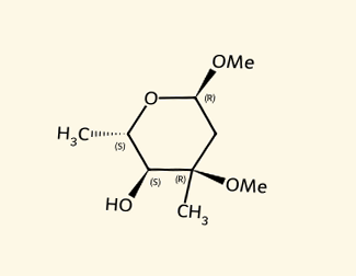 CO[C@H]1C[C@@](C)(OC)[C@@H](O)[C@H](C)O1